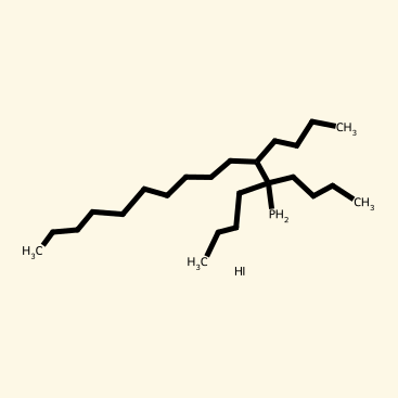 CCCCCCCCCCC(CCCC)C(P)(CCCC)CCCC.I